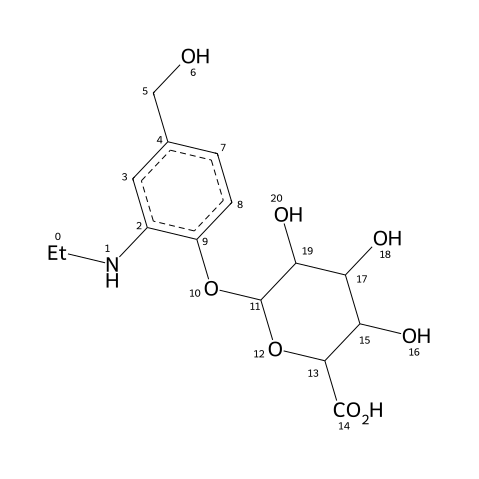 CCNc1cc(CO)ccc1OC1OC(C(=O)O)C(O)C(O)C1O